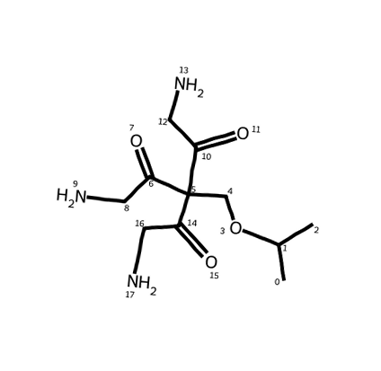 CC(C)OCC(C(=O)CN)(C(=O)CN)C(=O)CN